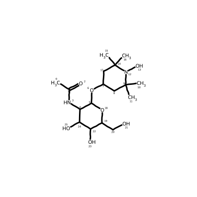 CC(=O)NC1C(OC2CC(C)(C)N(O)C(C)(C)C2)OC(CO)C(O)C1O